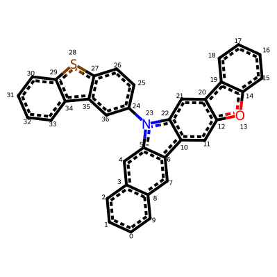 c1ccc2cc3c(cc2c1)c1cc2oc4ccccc4c2cc1n3-c1ccc2sc3ccccc3c2c1